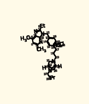 CCc1nc2c(C)cc(C)nc2n1Cc1ccc(CCCN2C[C@H]3C[C@@H]2CN3CC(C)C)cc1.Cl.Cl